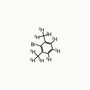 [2H]c1c([2H])c(C([2H])([2H])[2H])c(Br)c(C([2H])([2H])[2H])c1[2H]